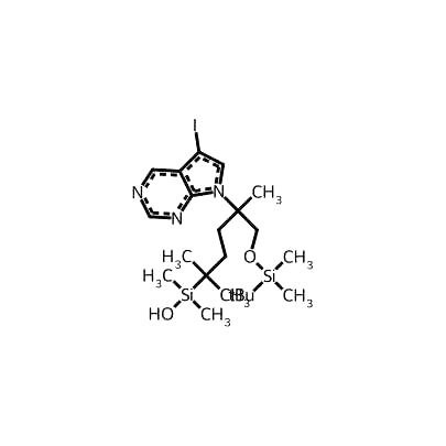 CC(CCC(C)(C)[Si](C)(C)O)(CO[Si](C)(C)C(C)(C)C)n1cc(I)c2cncnc21